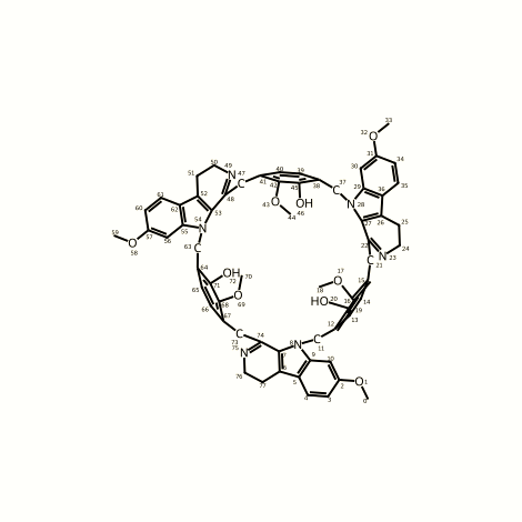 COc1ccc2c3c4n(c2c1)Cc1ccc(c(OC)c1O)CC1=NCCc2c1n(c1cc(OC)ccc21)Cc1ccc(c(OC)c1O)CC1=NCCc2c1n(c1cc(OC)ccc21)Cc1ccc(c(OC)c1O)CC4=NCC3